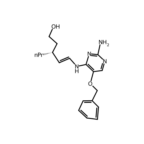 CCC[C@@H](/C=C/Nc1nc(N)ncc1OCc1ccccc1)CCO